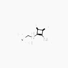 Nc1c(NCP(=O)(O)O)c(=O)c1=O